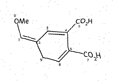 COC=C1C=C(C(=O)O)C(C(=O)O)=CC1